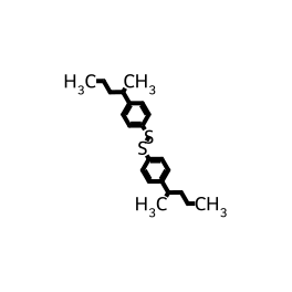 CCCC(C)c1ccc(SSc2ccc(C(C)CCC)cc2)cc1